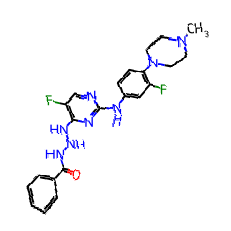 CN1CCN(c2ccc(Nc3ncc(F)c(NNNC(=O)c4ccccc4)n3)cc2F)CC1